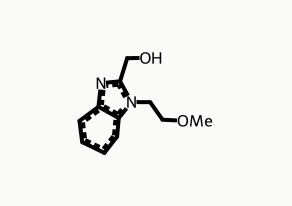 COCCn1c(CO)nc2ccccc21